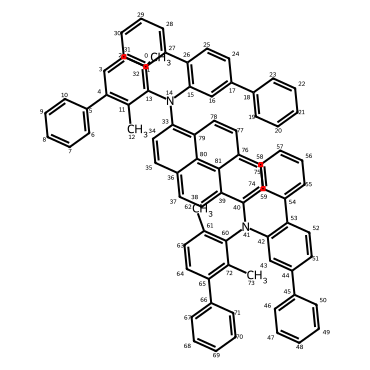 Cc1ccc(-c2ccccc2)c(C)c1N(c1cc(-c2ccccc2)ccc1-c1ccccc1)c1ccc2ccc3c(N(c4cc(-c5ccccc5)ccc4-c4ccccc4)c4c(C)ccc(-c5ccccc5)c4C)ccc4ccc1c2c43